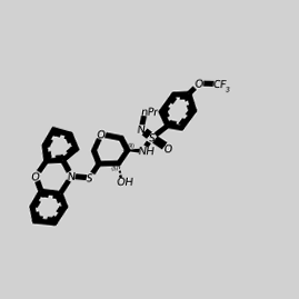 CCCN=S(=O)(N[C@@H]1COCC(SN2c3ccccc3Oc3ccccc32)[C@H]1O)c1ccc(OC(F)(F)F)cc1